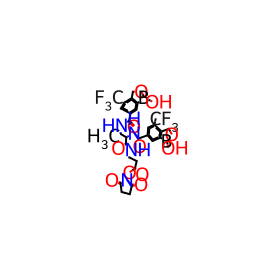 CC(NC(=O)c1cc2c(c(C(F)(F)F)c1)COB2O)C(NC(=O)c1cc2c(c(C(F)(F)F)c1)COB2O)C(=O)NCCC(=O)ON1C(=O)CCC1=O